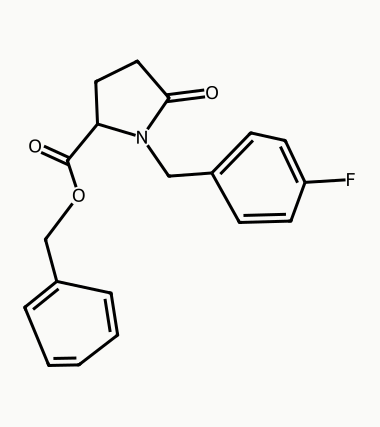 O=C(OCc1ccccc1)C1CCC(=O)N1Cc1ccc(F)cc1